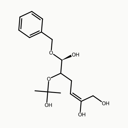 CC(C)(O)OC(C/C=C(/O)CO)[C@H](O)OCc1ccccc1